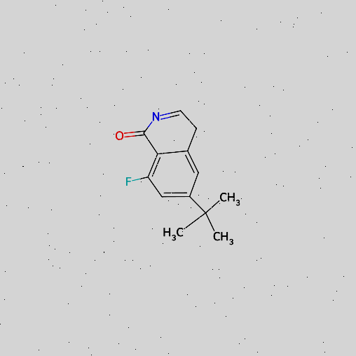 CC(C)(C)c1cc(F)c2c(c1)CC=NC2=O